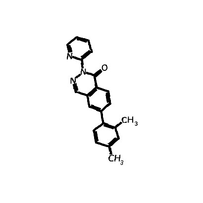 Cc1ccc(-c2ccc3c(=O)n(-c4ccccn4)ncc3c2)c(C)c1